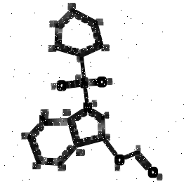 O=COc1cn(S(=O)(=O)c2ccccc2)c2ncccc12